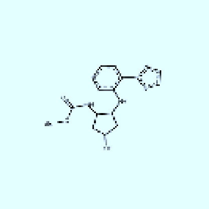 CC(C)(C)OC(=O)NC1CC(O)CC1Nc1ccccc1-n1nccn1